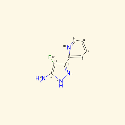 Nc1[nH]nc(-c2ccccn2)c1F